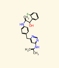 C=C(C)Nc1cc(Cc2ccc(NC(=C)C(O)c3ccccc3F)cc2)ncn1